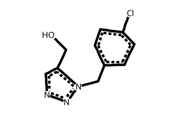 OCc1cnnn1Cc1ccc(Cl)cc1